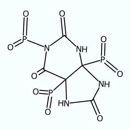 O=C1NC2(P(=O)=O)NC(=O)N(P(=O)=O)C(=O)C2(P(=O)=O)N1